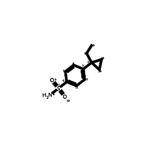 CCC1(c2ccc(S(N)(=O)=O)cc2)CC1